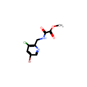 COC(=O)C(=O)NCc1ncc(Br)cc1Cl